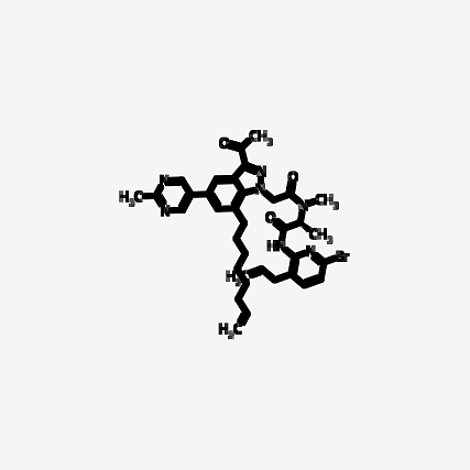 C=CCCCCCCc1cc(-c2cnc(C)nc2)cc2c(C(C)=O)nn(CC(=O)N(C)[C@@H](C)C(=O)Nc3nc(Br)ccc3CC=C)c12